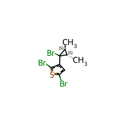 C[C@H]1[C@H](C)C1(Br)c1cc(Br)sc1Br